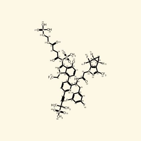 CC(C)(C#Cc1ccc(-c2ccc(Cl)c3c(N(C(=O)CCC(=O)OCOP(=O)(O)O)S(C)(=O)=O)nn(CC(F)(F)F)c23)c([C@H](Cc2cc(F)cc(F)c2)NC(=O)Cn2nc(C(F)(F)F)c3c2C(F)(F)[C@@H]2C[C@H]32)n1)S(C)(=O)=O